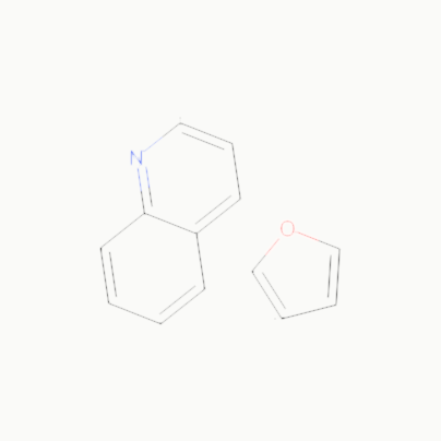 [c]1ccc2ccccc2n1.[c]1ccoc1